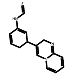 S=CNC1=CC(C2=CN3C=CC=CC3=NC2)CC=C1